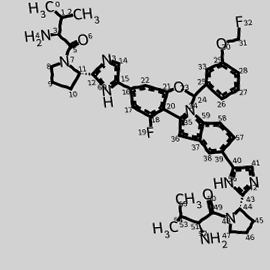 CC(C)[C@H](N)C(=O)N1CCC[C@H]1c1ncc(-c2cc(F)c3c(c2)OC(c2cccc(OCF)c2)n2c-3cc3cc(-c4cnc([C@@H]5CCCN5C(=O)[C@@H](N)C(C)C)[nH]4)ccc32)[nH]1